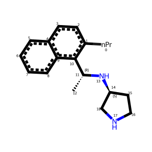 CCCc1ccc2ccccc2c1[C@@H](C)N[C@H]1CCNC1